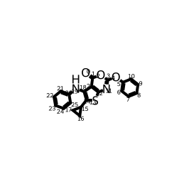 O=c1oc(Oc2ccccc2)nc2sc(C3CC3)c(Nc3ccccc3)c12